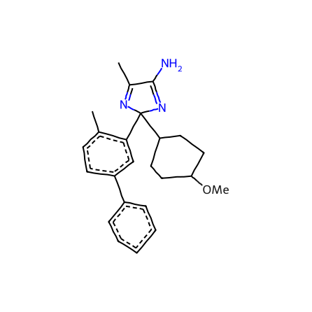 COC1CCC(C2(c3cc(-c4ccccc4)ccc3C)N=C(C)C(N)=N2)CC1